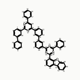 c1ccc(-c2cccc(-c3nc(-c4ccccc4)cc(-c4cccc(-c5cccc(-c6nc(-c7ccccc7)nc(-c7cccc8c7oc7ccccc78)n6)c5)c4)n3)c2)cc1